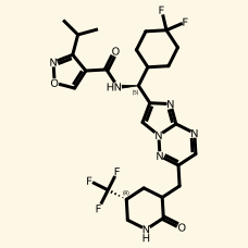 CC(C)c1nocc1C(=O)N[C@H](c1cn2nc(CC3C[C@@H](C(F)(F)F)CNC3=O)cnc2n1)C1CCC(F)(F)CC1